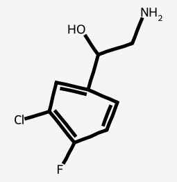 NCC(O)c1ccc(F)c(Cl)c1